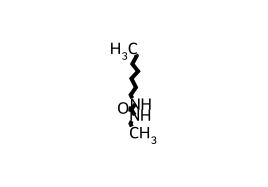 CCCCCCCNC(=O)NCC